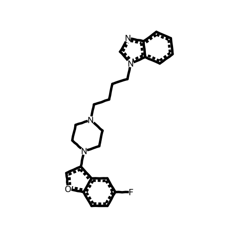 Fc1ccc2occ(N3CCN(CCCCn4cnc5ccccc54)CC3)c2c1